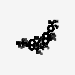 C=C(C)[C@@H]1CC[C@]2(NCC(C)(C)O)CC[C@H](C)[C@H](CC[C@H]3C(C)(C)CC[C@H]4C(C)(C)C(C5=CC[C@](CF)(C(=O)O)CC5)=CC[C@]34C)[C@@H]12